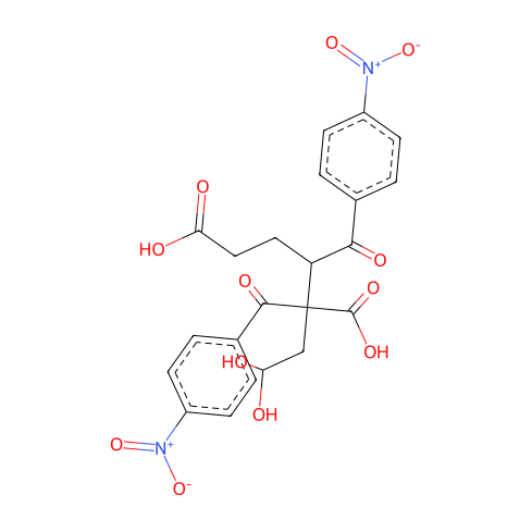 O=C(O)CCC(C(=O)c1ccc([N+](=O)[O-])cc1)C(CC(O)O)(C(=O)O)C(=O)c1ccc([N+](=O)[O-])cc1